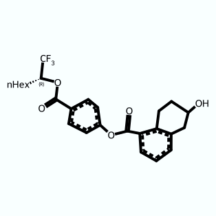 CCCCCC[C@@H](OC(=O)c1ccc(OC(=O)c2cccc3c2CCC(O)C3)cc1)C(F)(F)F